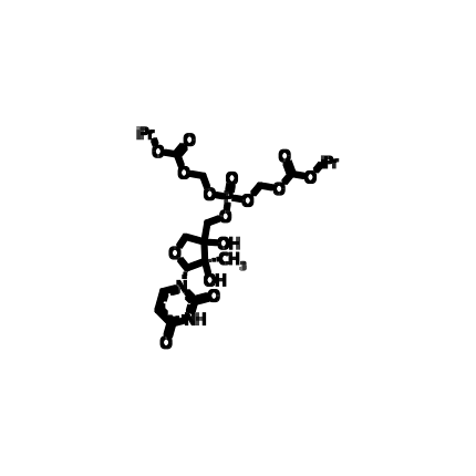 CC(C)OC(=O)OCOP(=O)(OCOC(=O)OC(C)C)OCC1(O)CO[C@@H](n2ccc(=O)[nH]c2=O)[C@]1(C)O